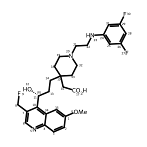 COc1ccc2ncc(CF)c([C@H](O)CCC3(CC(=O)O)CCN(CCNc4cc(F)cc(F)c4)CC3)c2c1